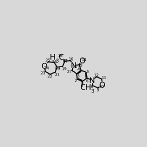 Cc1cc2c(cc1N1CCOCC1)C(=O)N(C[C@@H](C)C[C@H]1CCCOCC1)C2